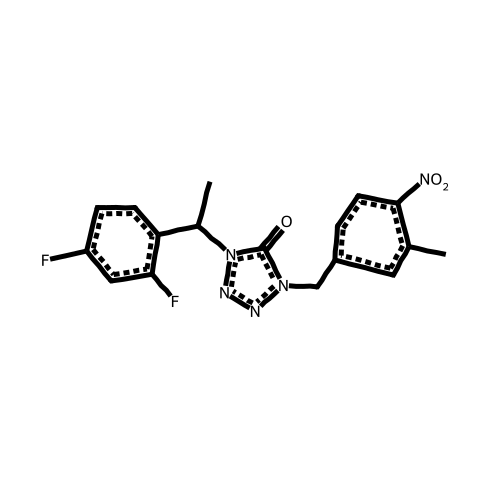 Cc1cc(Cn2nnn(C(C)c3ccc(F)cc3F)c2=O)ccc1[N+](=O)[O-]